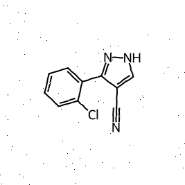 N#Cc1c[nH]nc1-c1ccccc1Cl